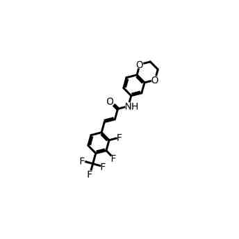 O=C(/C=C/c1ccc(C(F)(F)F)c(F)c1F)Nc1ccc2c(c1)OCCO2